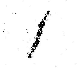 C=CC(=O)OCCC(=O)Oc1ccc2cc(C(=O)Oc3ccc(OC(=O)c4ccc5cc(OC(=O)CCOC(=O)C(=C)C)ccc5c4)cc3C)ccc2c1